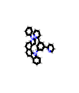 c1ccc(-n2ccc3c4c(ccc5c6ccccc6n(-c6cc(-c7ccccn7)cc(-c7ccccn7)c6)c54)ccc32)cc1